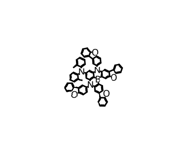 Cc1ccccc1N(c1cc2c3c(c1)N(c1ccc4oc5ccccc5c4c1)c1cc4c(cc1B3c1cc3oc5ccccc5c3cc1N2c1ccc2oc3ccccc3c2c1)oc1ccccc14)c1ccccc1C